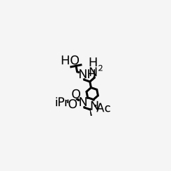 CC(=O)N1C2CCC(C(CN)CNCC(C)(C)O)CC2N(C(=O)OC(C)C)C[C@@H]1C